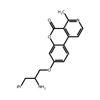 Cc1nccc2c1c(=O)oc1cc(OCC(N)CC(C)C)ccc12